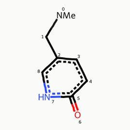 [C]NCc1ccc(=O)[nH]c1